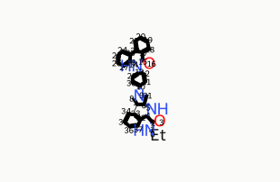 CCNC(=O)C(NC1CCN(c2ccc(NC(=O)c3ccccc3-c3ccccc3)cc2)C1)c1ccccc1